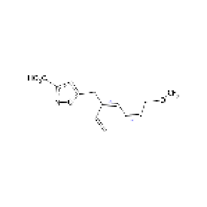 C=C/C(=C\C=C/COC(F)(F)F)Cc1cc(C(=O)O)no1